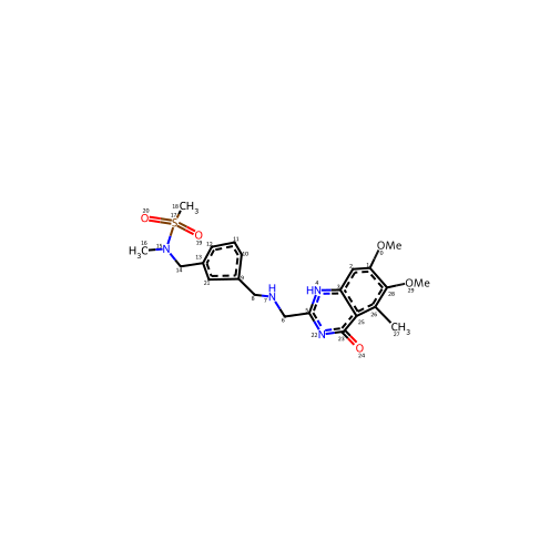 COc1cc2[nH]c(CNCc3cccc(CN(C)S(C)(=O)=O)c3)nc(=O)c2c(C)c1OC